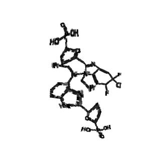 CC(C)CN(c1cccc2[nH]c(-c3ccc(P(=O)(O)O)o3)nc12)[N+]1(CC(C)C)C2=CC(F)C(F)(Cl)C=C2N=C1c1ccc(P(=O)(O)O)o1